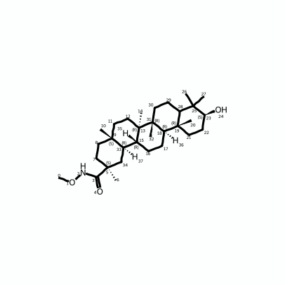 CONC(=O)[C@@]1(C)CC[C@]2(C)CC[C@]3(C)[C@H](CC[C@@H]4[C@@]5(C)CC[C@H](O)C(C)(C)C5CC[C@]43C)[C@H]2C1